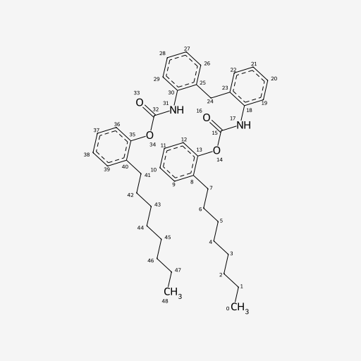 CCCCCCCCc1ccccc1OC(=O)Nc1ccccc1Cc1ccccc1NC(=O)Oc1ccccc1CCCCCCCC